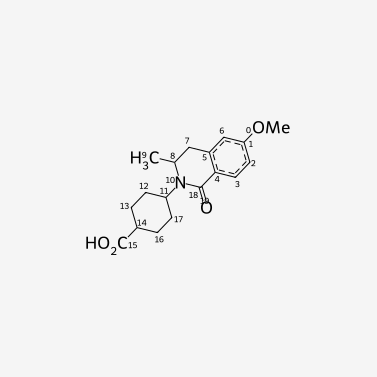 COc1ccc2c(c1)CC(C)N(C1CCC(C(=O)O)CC1)C2=O